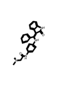 CN(C)CC(=O)Nc1ccc(N/C(=C2\C(=O)Nc3ccccc32)c2ccccc2)cc1